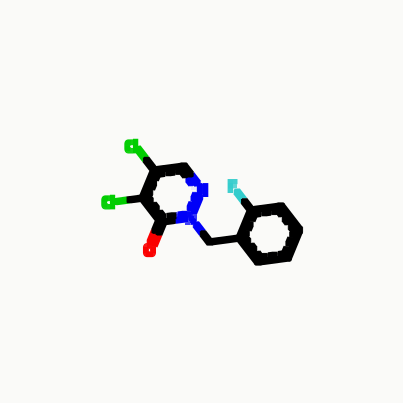 O=c1c(Cl)c(Cl)cnn1Cc1ccccc1F